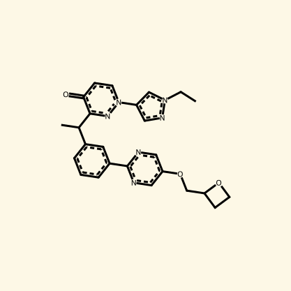 CCn1cc(-n2ccc(=O)c(C(C)c3cccc(-c4ncc(OCC5CCO5)cn4)c3)n2)cn1